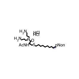 CCCCCCCCC/C=C\CCCCCCCCSC[C@@H](NC(C)=O)C(=O)N(CCCN)CCCN.Cl.Cl